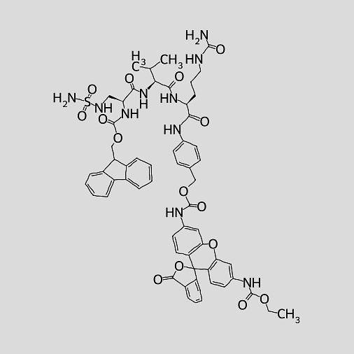 CCOC(=O)Nc1ccc2c(c1)Oc1cc(NC(=O)OCc3ccc(NC(=O)[C@H](CCCNC(N)=O)NC(=O)[C@@H](NC(=O)[C@H](CNS(N)(=O)=O)NC(=O)OCC4c5ccccc5-c5ccccc54)C(C)C)cc3)ccc1C21OC(=O)c2ccccc21